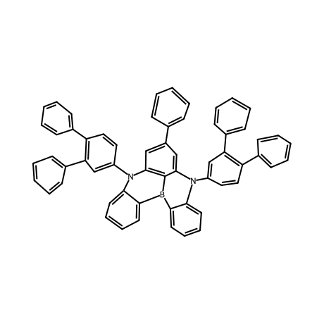 c1ccc(-c2cc3c4c(c2)N(c2ccc(-c5ccccc5)c(-c5ccccc5)c2)c2ccccc2B4c2ccccc2N3c2ccc(-c3ccccc3)c(-c3ccccc3)c2)cc1